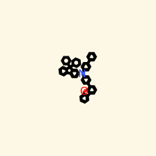 c1ccc(-c2ccc(N(c3ccc(-c4cccc5c4oc4ccccc45)cc3)c3ccc4c(c3)C(C3CCCCC3)(C3CCCCC3)c3ccccc3-4)cc2)cc1